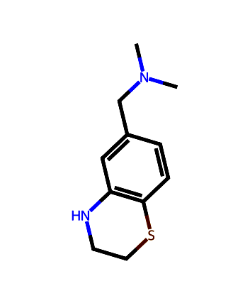 CN(C)Cc1ccc2c(c1)NCCS2